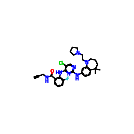 C#CCNC(=O)c1cccc(F)c1Nc1nc(Nc2ccc3c(c2)N(CCN2CCCC2)CCCC3(C)C)ncc1Cl